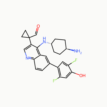 N[C@H]1CC[C@H](Nc2c(C3(C=O)CC3)cnc3ccc(-c4cc(F)c(O)cc4F)cc23)CC1